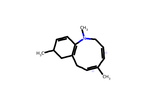 CC1=C/CC2=C(C=CC(C)C2)N(C)C/C=C\1